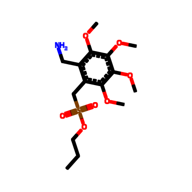 CCCOS(=O)(=O)Cc1c(CN)c(OC)c(OC)c(OC)c1OC